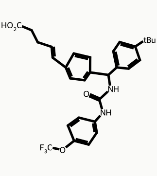 CC(C)(C)c1ccc(C(NC(=O)Nc2ccc(OC(F)(F)F)cc2)c2ccc(C=CCCC(=O)O)cc2)cc1